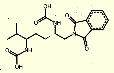 CC(C)C(CC[C@@H](CN1C(=O)c2ccccc2C1=O)NC(=O)O)NC(=O)O